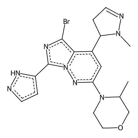 CC1COCCN1c1cc(C2CC=NN2C)c2c(Br)nc(-c3ccn[nH]3)n2n1